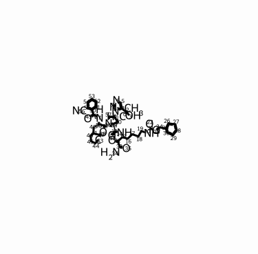 CC(C)(O)c1cnnn1[C@H]1C[C@@H](C(=O)NC(CCCCNC(=O)OCc2ccccc2)C(=O)C(N)=O)N(C(=O)[C@@H](CC2CCCCC2)NC(=O)c2ccccc2C#N)C1